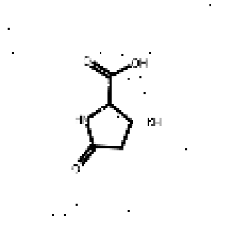 O=C1CCC(C(=O)O)N1.[KH]